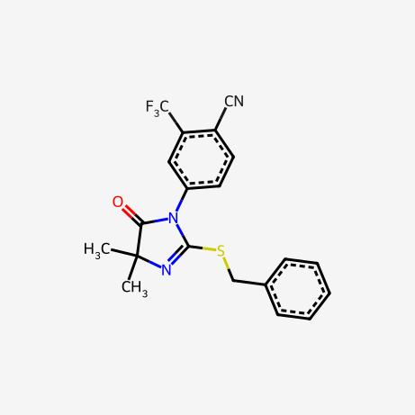 CC1(C)N=C(SCc2ccccc2)N(c2ccc(C#N)c(C(F)(F)F)c2)C1=O